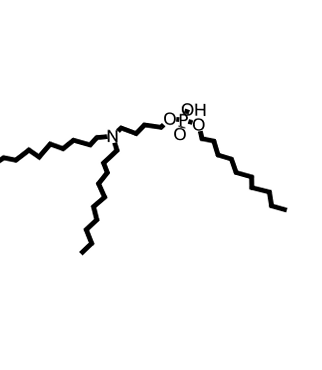 CCCCCCCCCCOP(=O)(O)OCCCCN(CCCCCCCCCC)CCCCCCCCCC